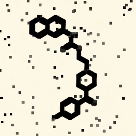 O=C(Nc1ccc2ncccc2c1)OCCN1CCC(C(=O)c2ccc(F)cc2)CC1